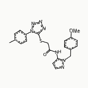 COc1ccc(Cn2nccc2NC(=O)CSc2nnnn2-c2ccc(C)cc2)cc1